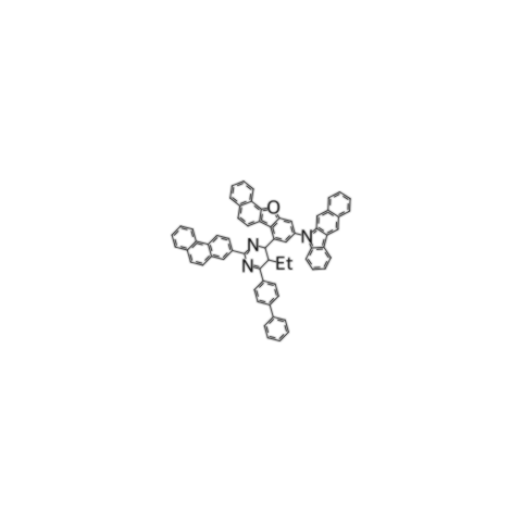 CCC1C(c2ccc(-c3ccccc3)cc2)=NC(c2ccc3c(ccc4ccccc43)c2)=NC1c1cc(-n2c3ccccc3c3cc4ccccc4cc32)cc2oc3c4ccccc4ccc3c12